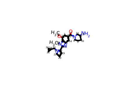 COc1cc(C(=O)N2CCCC(N)C2)cc2nc(-c3cccn3CC3CC3)n(C)c12